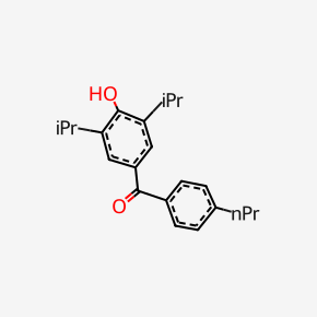 CCCc1ccc(C(=O)c2cc(C(C)C)c(O)c(C(C)C)c2)cc1